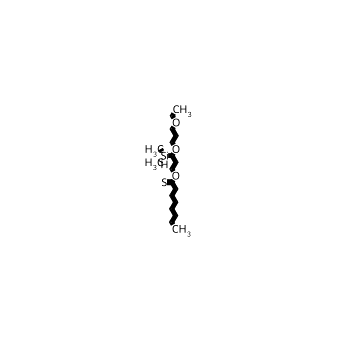 CCCCCCCC(=S)OCCC(OCCCOCC)[SiH](C)C